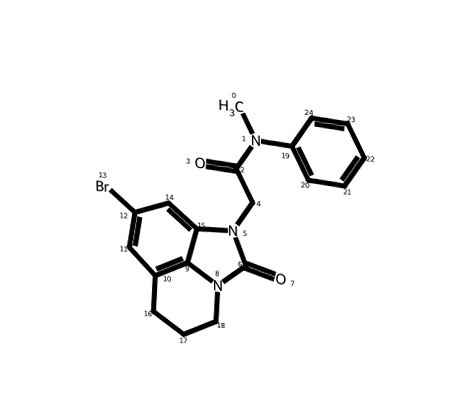 CN(C(=O)Cn1c(=O)n2c3c(cc(Br)cc31)CCC2)c1ccccc1